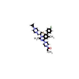 C=CC(=O)N1CCN(C2=NC(=C)N3c4c2cc(C)c(-c2ccc(F)cc2)c4SC[C@@H]3CN2CCN(C3CC3)CC2)CC1